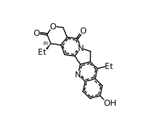 CCc1c2c(nc3ccc(O)cc13)-c1cc3c(c(=O)n1C2)COC(=O)[C@@H]3CC